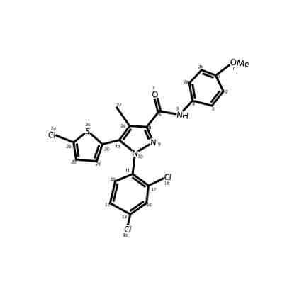 COc1ccc(NC(=O)c2nn(-c3ccc(Cl)cc3Cl)c(-c3ccc(Cl)s3)c2C)cc1